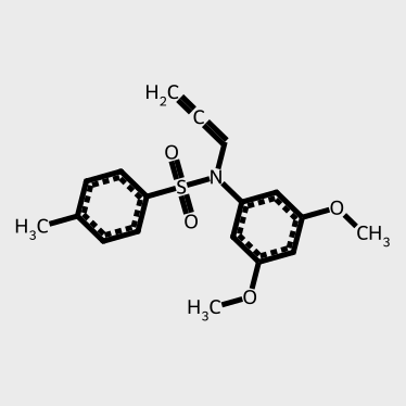 C=C=CN(c1cc(OC)cc(OC)c1)S(=O)(=O)c1ccc(C)cc1